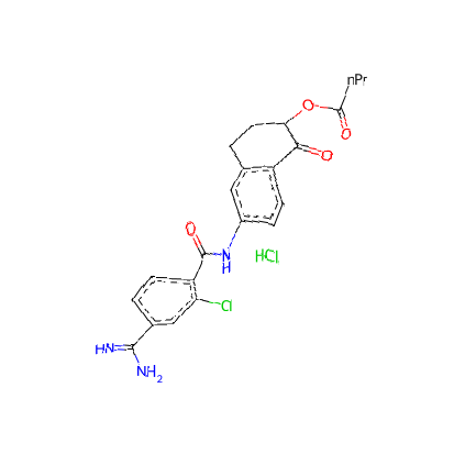 CCCC(=O)OC1CCc2cc(NC(=O)c3ccc(C(=N)N)cc3Cl)ccc2C1=O.Cl